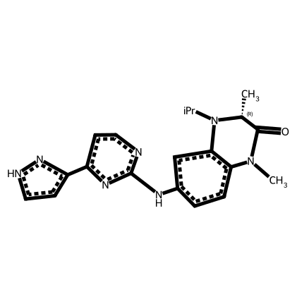 CC(C)N1c2cc(Nc3nccc(-c4cc[nH]n4)n3)ccc2N(C)C(=O)[C@H]1C